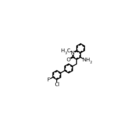 Cn1c(=O)c(Cc2ccc(-c3ccc(F)c(Cl)c3)cc2)c(N)c2ccccc21